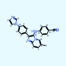 Cc1ccc2nc(-c3ccc(-n4ccnc4)cc3)c(Nc3ccc(C#N)cc3)n2c1